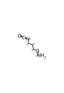 O=C=NCCC[O][AlH2]